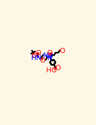 CC(C)(C)OC(=O)NC1CNC(N(C(=O)CCCC=O)c2ccc(C(=O)O)cc2)CO1